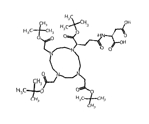 CC(C)(C)OC(=O)CN1CCN(CC(=O)OC(C)(C)C)CCN([C@H](CCC(=O)N[C@@H](CC(=O)O)C(=O)O)C(=O)OC(C)(C)C)CCN(CC(=O)OC(C)(C)C)CC1